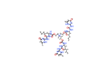 CCCCCC(NC(=O)Nc1nc(=O)cc(C)[nH]1)NC(=O)OCC[N+](C)(CCOC(=O)NC(CCCCC)NC(=O)Nc1nc(=O)cc(C)[nH]1)CCOC(=O)NC(CCCCC)NC(=O)Nc1nc(=O)cc(C)[nH]1